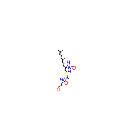 CC(C)=CCC/C(C)=C/CC/C(=C/CSCC(C)NC(=O)CCC=O)NNC=O